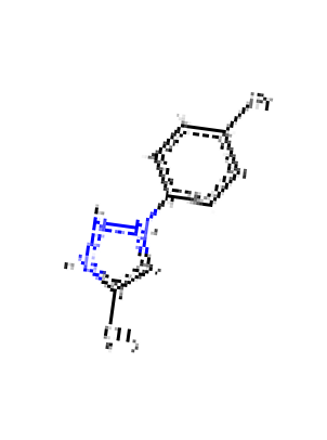 Cc1cn(-c2ccc(C(C)C)cc2)nn1